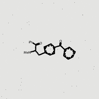 CNC(Cc1ccc(C(=O)c2ccccc2)cc1)C(=O)C(C)C